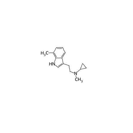 Cc1cccc2c(CCN(C)C3CC3)c[nH]c12